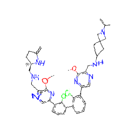 C=C1CC[C@H](CNCc2ncc(-c3cccc(-c4cccc(-c5cnc(CNC6CC7(C6)CN(C(=C)C)C7)c(OC)n5)c4Cl)c3Cl)nc2OC)N1